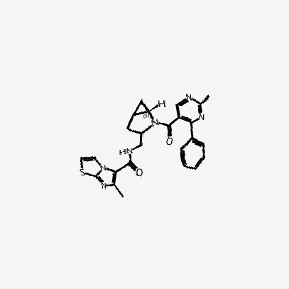 Cc1ncc(C(=O)N2C(CNC(=O)c3c(C)nc4sccn34)CC3C[C@@H]32)c(-c2ccccc2)n1